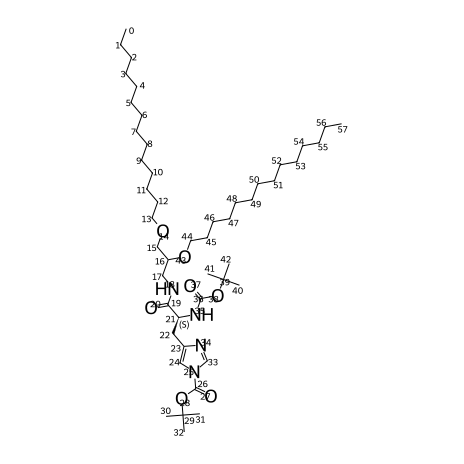 CCCCCCCCCCCCCCOCC(CNC(=O)[C@H](Cc1cn(C(=O)OC(C)(C)C)cn1)NC(=O)OC(C)(C)C)OCCCCCCCCCCCCCC